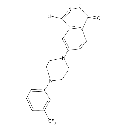 O=c1[nH]nc(Cl)c2cc(N3CCN(c4cccc(C(F)(F)F)c4)CC3)ccc12